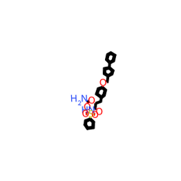 NC(=O)OC(Cc1ccc(OCc2ccc(-c3ccccc3)cc2)cc1)C(=O)NS(=O)(=O)c1ccccc1